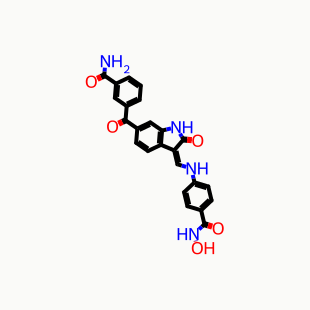 NC(=O)c1cccc(C(=O)c2ccc3c(c2)NC(=O)C3=CNc2ccc(C(=O)NO)cc2)c1